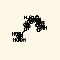 CCOc1nc2cccc(C(=O)OC(C)(C)OC(=O)O[C@@H]3CO[C@H]4[C@@H]3OC[C@H]4OCCCCC(CON(O)O)ON(O)O)c2n1Cc1ccc(-c2ccccc2-c2nnn[nH]2)cc1